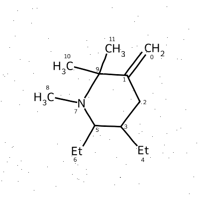 C=C1CC(CC)C(CC)N(C)C1(C)C